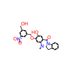 C=Nc1cc(OCc2cc(CO)cc([N+](=O)[O-])c2)c(O)cc1C(=O)N1CCc2ccccc21